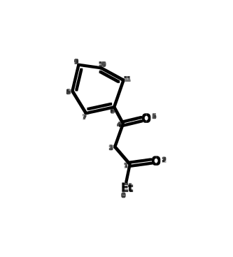 CCC(=O)CC(=O)c1ccccc1